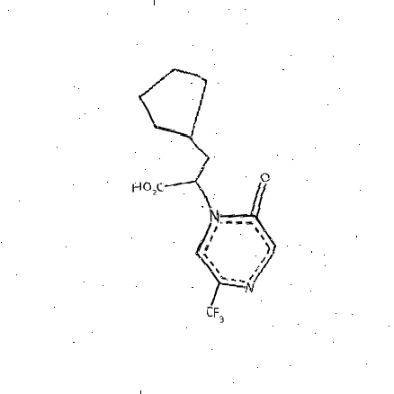 O=C(O)C(CC1CCCC1)n1cc(C(F)(F)F)ncc1=O